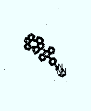 c1ccc2c(-c3cc4cccc5c6cccc7ccc8cccc(c9cccc3c9c45)c8c76)c3ccccc3c(-c3ccc(-c4cn5cccnc5n4)cc3)c2c1